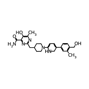 Cc1cc(C2=CC=C(N3CCC(Cc4nc(C)c(O)c(C(N)=O)n4)CC3)NC2)ccc1CO